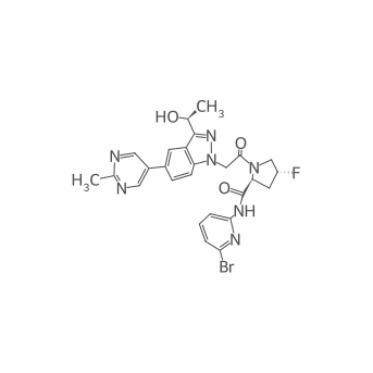 Cc1ncc(-c2ccc3c(c2)c([C@H](C)O)nn3CC(=O)N2C[C@H](F)C[C@H]2C(=O)Nc2cccc(Br)n2)cn1